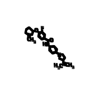 CN1CCCC(Oc2ccc(C(=O)Nc3ccc(N4CCC(N(C)C)C4)cc3)cc2F)C1